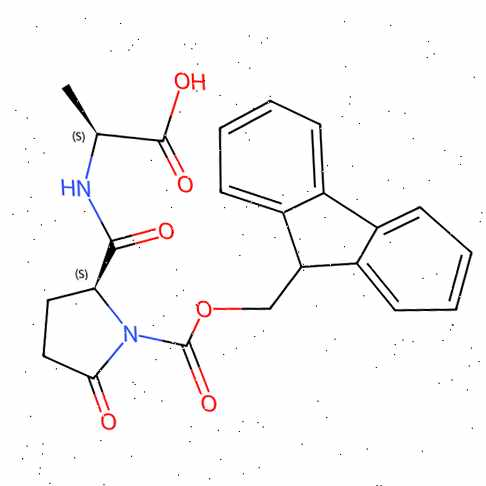 C[C@H](NC(=O)[C@@H]1CCC(=O)N1C(=O)OCC1c2ccccc2-c2ccccc21)C(=O)O